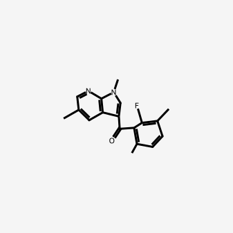 Cc1cnc2c(c1)c(C(=O)c1c(C)ccc(C)c1F)cn2C